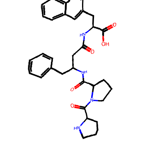 O=C(CC(Cc1ccccc1)NC(=O)C1CCCN1C(=O)C1CCCN1)NC(Cc1ccc2ccccc2c1)C(=O)O